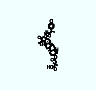 CC(C)C1=C2[C@H]3CCC4[C@@]5(C)CCC(OC(=O)CC(C)(C)C(=O)O)C(C)(C)[C@H]5CC[C@@]4(C)[C@]3(C)CC[C@@]2(c2nnc([C@H](C)c3ccc(Cl)cc3)o2)CC1=O